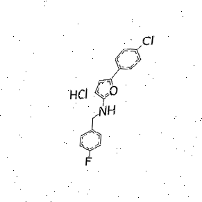 Cl.Fc1ccc(CNc2ccc(-c3ccc(Cl)cc3)o2)cc1